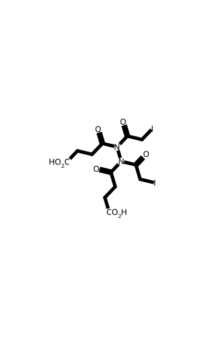 O=C(O)CCC(=O)N(C(=O)CI)N(C(=O)CI)C(=O)CCC(=O)O